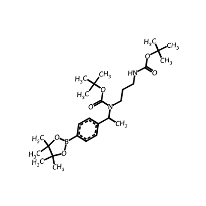 CC(c1ccc(B2OC(C)(C)C(C)(C)O2)cc1)N(CCCNC(=O)OC(C)(C)C)C(=O)OC(C)(C)C